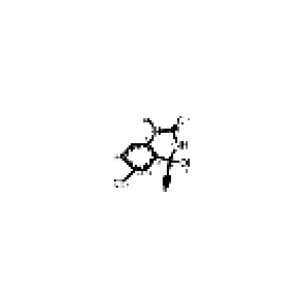 C#CC1(O)NC(=O)N(C)c2ccc(Cl)cc21